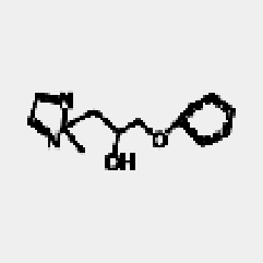 CC1(CC(O)COc2ccccc2)N=CC=N1